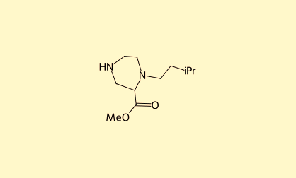 COC(=O)C1CNCCN1CCC(C)C